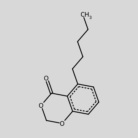 CCCCCc1cccc2c1C(=O)OCO2